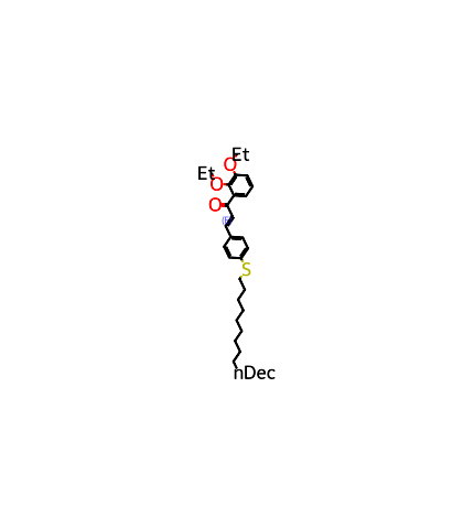 CCCCCCCCCCCCCCCCCCCSc1ccc(/C=C/C(=O)c2cccc(OCC)c2OCC)cc1